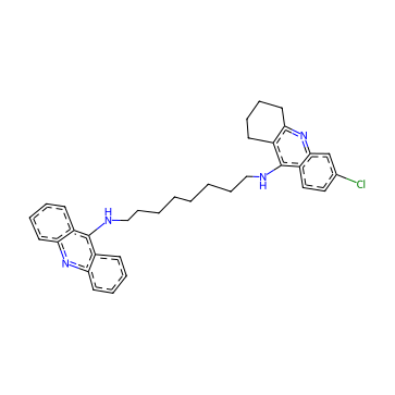 Clc1ccc2c(NCCCCCCCCNc3c4ccccc4nc4ccccc34)c3c(nc2c1)CCCC3